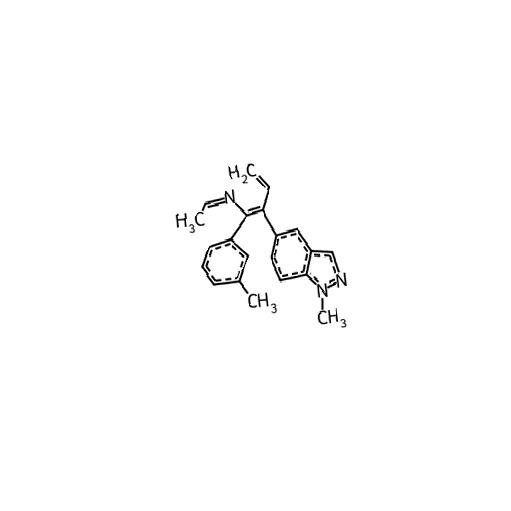 C=C/C(=C(\N=C/C)c1cccc(C)c1)c1ccc2c(cnn2C)c1